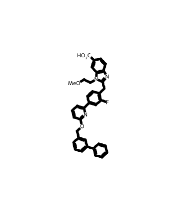 COCCn1c(Cc2ccc(-c3cccc(OCc4cccc(-c5ccccc5)c4)n3)cc2F)nc2ccc(C(=O)O)cc21